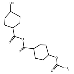 CC(=O)OC1CCC(C(=O)OC(=O)C2CCC(O)CC2)CC1